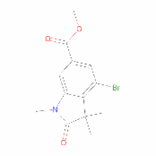 COC(=O)c1cc(Br)c2c(c1)N(C)C(=O)C2(C)C